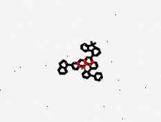 CC1(C)c2ccccc2-c2c(-c3ccc(N(c4ccc(-c5cccc6ccccc56)cc4)c4cccc(-c5ccccc5)c4-c4ccccc4-c4ccccc4)cc3)cccc21